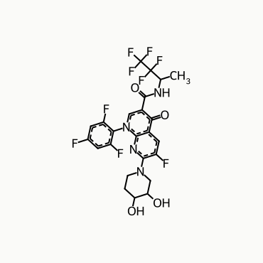 CC(NC(=O)c1cn(-c2c(F)cc(F)cc2F)c2nc(N3CCC(O)C(O)C3)c(F)cc2c1=O)C(F)(F)C(F)(F)F